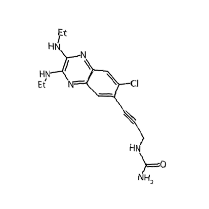 CCNc1nc2cc(Cl)c(C#CCNC(N)=O)cc2nc1NCC